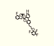 Cc1c(F)cccc1CN(C(=O)C1=C(c2ccc(CCCOc3c(F)ccc(F)c3F)cc2)CCNC1)C1CC1